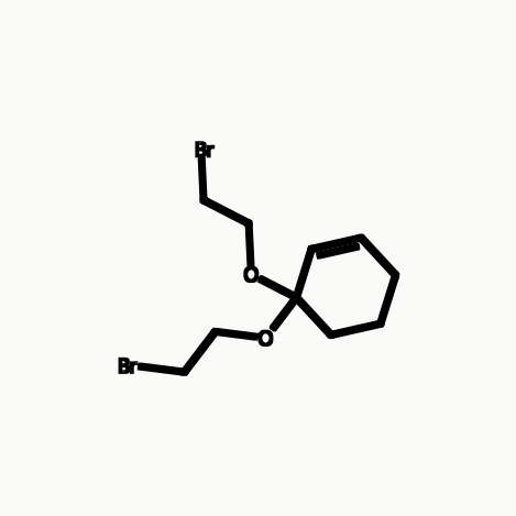 BrCCOC1(OCCBr)C=CCCC1